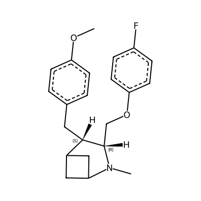 COc1ccc(C[C@H]2C3CC(C3)N(C)[C@H]2COc2ccc(F)cc2)cc1